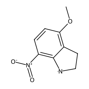 COc1ccc([N+](=O)[O-])c2c1CC[N]2